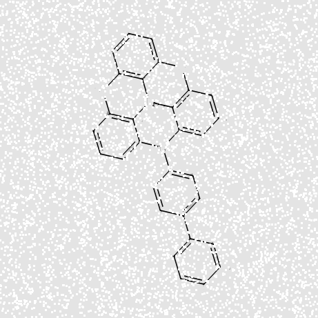 O=P12c3c4cccc3Oc3cccc(c31)N(c1ccc(-c3ccccc3)cc1)c1cccc(c12)O4